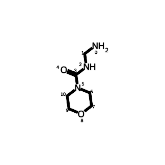 NCNC(=O)N1CCOCC1